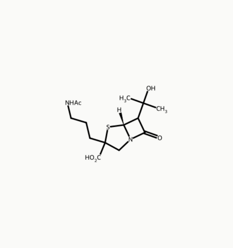 CC(=O)NCCCC1(C(=O)O)CN2C(=O)C(C(C)(C)O)[C@H]2S1